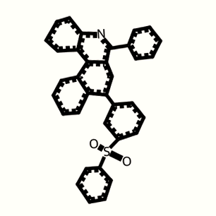 O=S(=O)(c1ccccc1)c1cccc(-c2cc3c(-c4ccccc4)nc4ccccc4c3c3ccccc23)c1